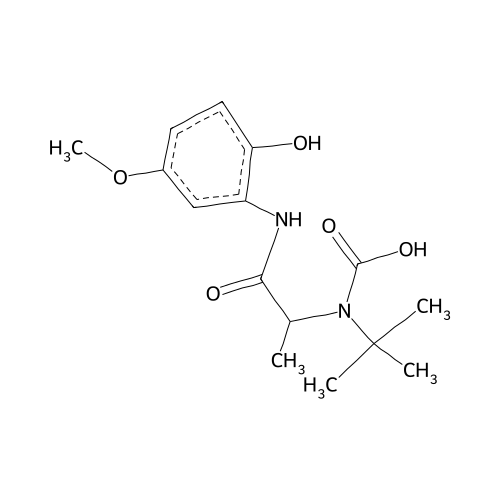 COc1ccc(O)c(NC(=O)C(C)N(C(=O)O)C(C)(C)C)c1